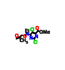 CCN(OC[C@@]1(C)CO1)c1nc(Cl)nc(C(=O)OC)c1Cl